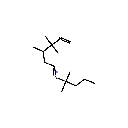 C=NC(C)(C)C(C)C/C=N/C(C)(C)CCC